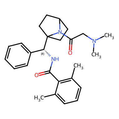 Cc1cccc(C)c1C(=O)N[C@H](c1ccccc1)C12CCC(CC1)N2C(=O)CN(C)C